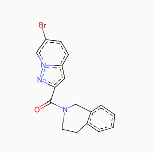 O=C(c1cc2ccc(Br)cn2n1)N1CCc2ccccc2C1